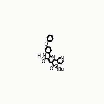 CC(C)(C)OC(=O)c1cc(C(N)=O)c(-c2ccc(Oc3ccccc3)cc2)nc1C1C=CCN=C1